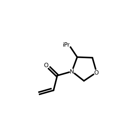 C=CC(=O)N1COCC1C(C)C